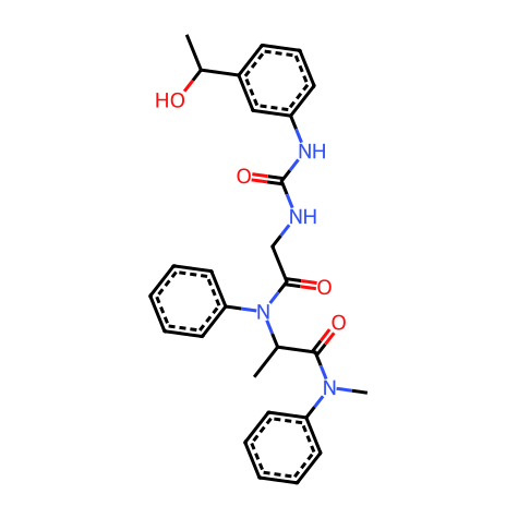 CC(O)c1cccc(NC(=O)NCC(=O)N(c2ccccc2)C(C)C(=O)N(C)c2ccccc2)c1